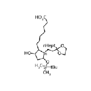 CCCCCCCC1(CC[C@H]2C(O[Si](C)(C)C(C)(C)C)CC(O)C2CCCCCCC(=O)O)OCCO1